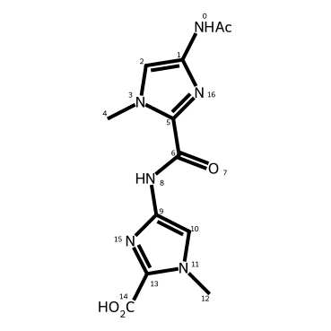 CC(=O)Nc1cn(C)c(C(=O)Nc2cn(C)c(C(=O)O)n2)n1